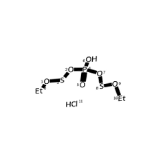 CCOSOP(=O)(O)OSOCC.Cl